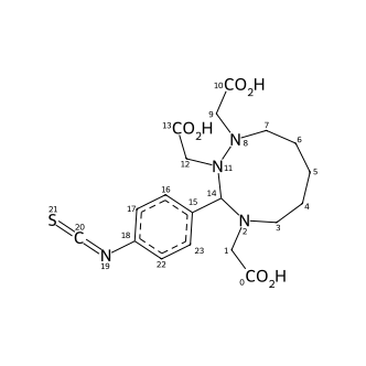 O=C(O)CN1CCCCCN(CC(=O)O)N(CC(=O)O)C1c1ccc(N=C=S)cc1